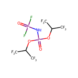 O=P(F)(F)NP(=O)(OC(C(F)(F)F)C(F)(F)F)OC(C(F)(F)F)C(F)(F)F